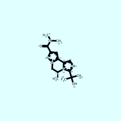 C[C@H]1Cn2nc(C(=O)N(C)C)cc2-c2cnc(C(C)(O)C(F)(F)F)n21